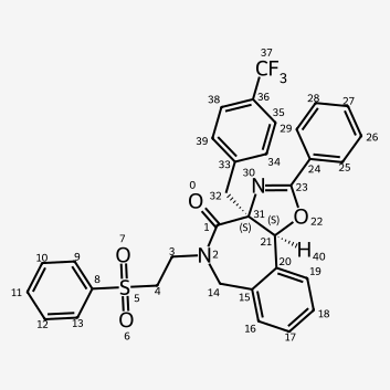 O=C1N(CCS(=O)(=O)c2ccccc2)Cc2ccccc2[C@@H]2OC(c3ccccc3)=N[C@]12Cc1ccc(C(F)(F)F)cc1